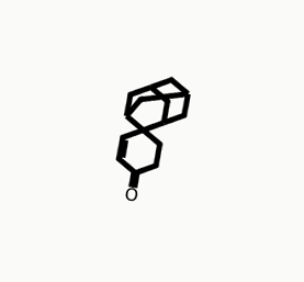 O=C1C=CC2(CC1)C1CC3CC(C1)CC2C3